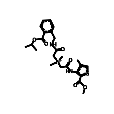 COC(=O)c1scc(C)c1NC(=O)C[N+](C)(C)CC(=O)NCc1ccccc1C(=O)OC(C)C